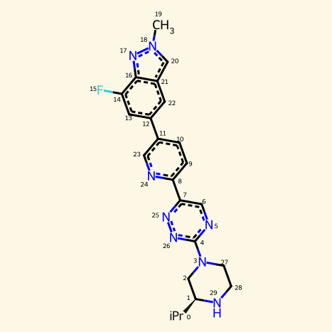 CC(C)[C@H]1CN(c2ncc(-c3ccc(-c4cc(F)c5nn(C)cc5c4)cn3)nn2)CCN1